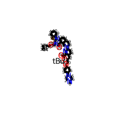 CN1CCN(c2ccc(OCCCc3ccc(N4CCc5cccc(C(=O)N(COCC[Si](C)(C)C)c6nc7ccccc7s6)c5C4)nc3C(=O)OC(C)(C)C)cc2)CC1